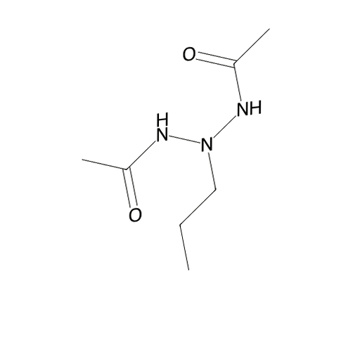 CCCN(NC(C)=O)NC(C)=O